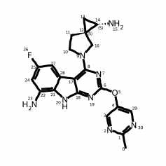 Cc1ncc(Oc2nc(N3CC[C@]4(C[C@@H]4N)C3)c3c(n2)[nH]c2c(N)cc(F)cc23)cn1